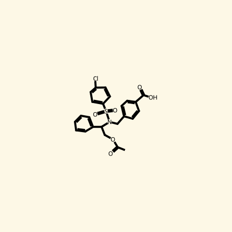 CC(=O)OCC(c1ccccc1)N(Cc1ccc(C(=O)O)cc1)S(=O)(=O)c1ccc(Cl)cc1